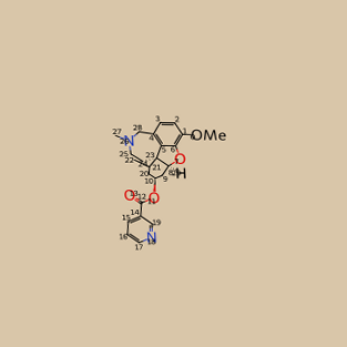 COc1ccc2c3c1O[C@H]1C[C@@H](OC(=O)c4cccnc4)CC(C)[C@@]31CCN(C)C2